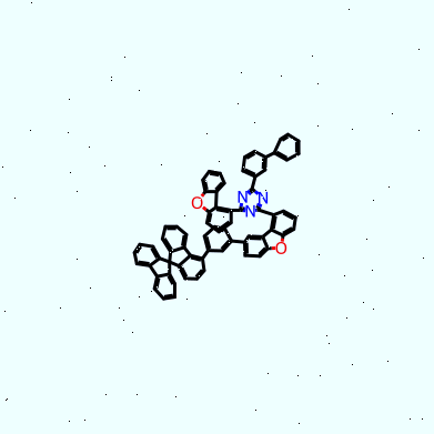 c1ccc(-c2cccc(-c3nc(-c4cccc5oc6ccccc6c45)nc(-c4cccc5oc6ccc(-c7cccc(-c8cccc9c8-c8ccccc8C98c9ccccc9-c9ccccc98)c7)cc6c45)n3)c2)cc1